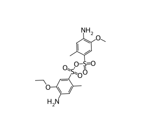 CCOc1cc(S(=O)(=O)OS(=O)(=O)c2cc(OC)c(N)cc2C)c(C)cc1N